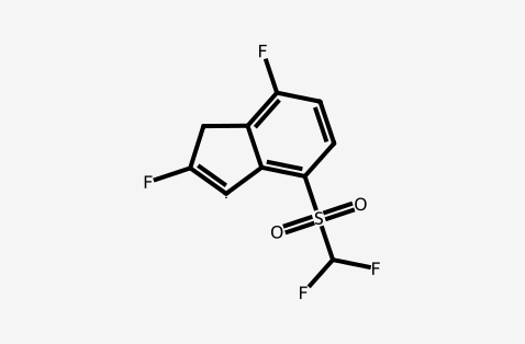 O=S(=O)(c1ccc(F)c2c1[C]=C(F)C2)C(F)F